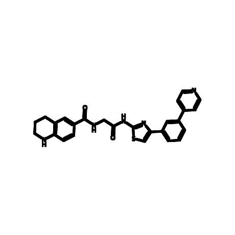 O=C(CNC(=O)c1ccc2c(c1)CCCN2)Nc1nc(-c2cccc(-c3ccncc3)c2)cs1